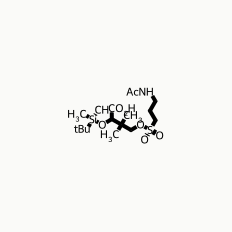 CC(=O)NCCCS(=O)(=O)OCC(C)(C)C(O[Si](C)(C)C(C)(C)C)C(=O)O